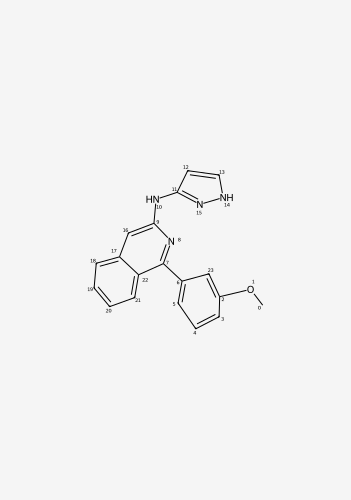 COc1cccc(-c2nc(Nc3cc[nH]n3)cc3ccccc23)c1